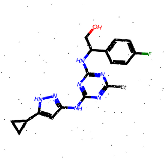 CCc1nc(Nc2cc(C3CC3)[nH]n2)nc(NC(CO)c2ccc(F)cc2)n1